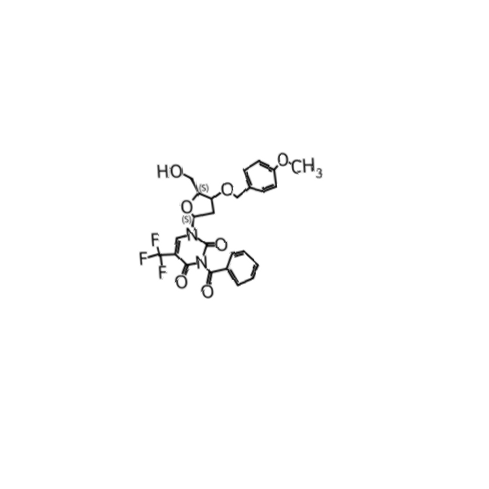 COc1ccc(COC2C[C@@H](n3cc(C(F)(F)F)c(=O)n(C(=O)c4ccccc4)c3=O)O[C@H]2CO)cc1